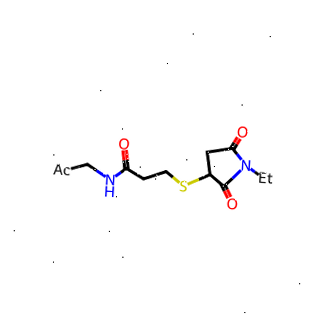 CCN1C(=O)CC(SCCC(=O)NCC(C)=O)C1=O